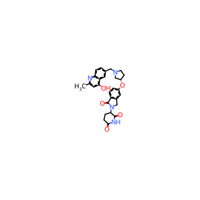 Cc1cc(O)c2cc(CN3CC[C@H](Oc4ccc5c(c4)CN(C4CCC(=O)NC4=O)C5=O)C3)ccc2n1